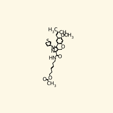 COc1cc2c(cc1C=C(C)C)-c1c(c(C(=O)NCC/C=C/CCOC(C)=O)nn1-c1ccsc1)CO2